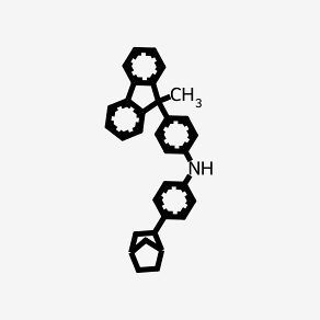 CC1(c2ccc(Nc3ccc(C4CC5CCC4C5)cc3)cc2)c2ccccc2-c2ccccc21